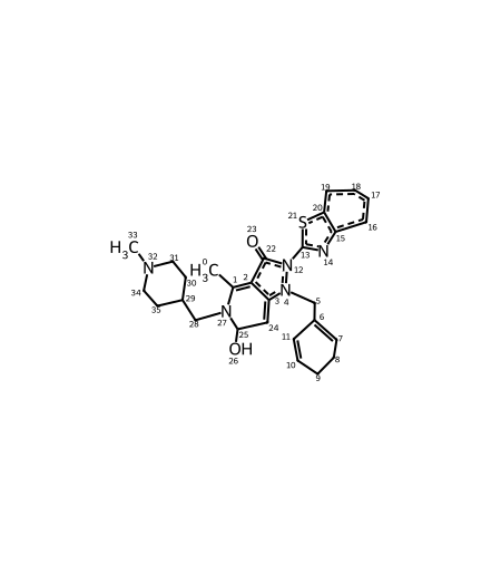 CC1=c2c(n(CC3=CCCC=C3)n(-c3nc4ccccc4s3)c2=O)=CC(O)N1CC1CCN(C)CC1